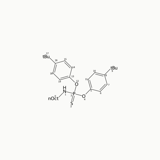 CCCCCCCCNP(=S)(Oc1ccc(C(C)(C)C)cc1)Oc1ccc(C(C)(C)C)cc1